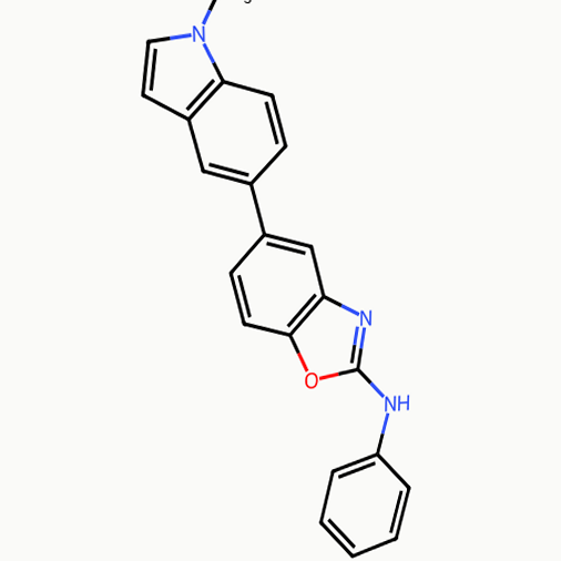 Cn1ccc2cc(-c3ccc4oc(Nc5ccccc5)nc4c3)ccc21